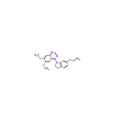 CCCc1ccc2c(c1)N(c1ncnc3cc(OC)c(OC)cc13)CC2